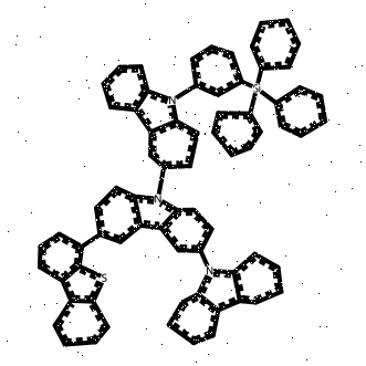 c1ccc([Si](c2ccccc2)(c2ccccc2)c2cccc(-n3c4ccccc4c4cc(-n5c6ccc(-c7cccc8c7sc7ccccc78)cc6c6cc(-n7c8ccccc8c8ccccc87)ccc65)ccc43)c2)cc1